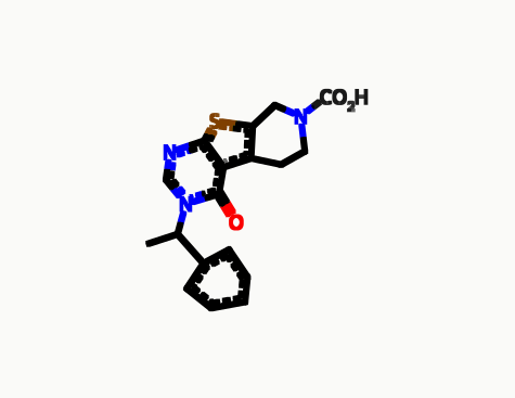 CC(c1ccccc1)n1cnc2sc3c(c2c1=O)CCN(C(=O)O)C3